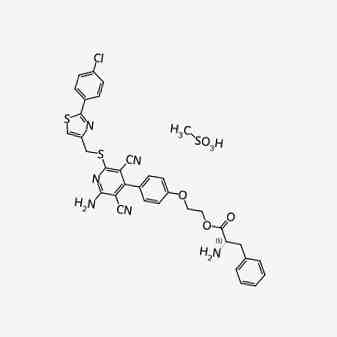 CS(=O)(=O)O.N#Cc1c(N)nc(SCc2csc(-c3ccc(Cl)cc3)n2)c(C#N)c1-c1ccc(OCCOC(=O)[C@@H](N)Cc2ccccc2)cc1